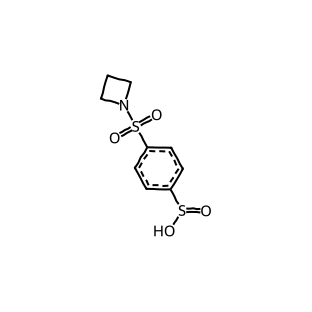 O=S(O)c1ccc(S(=O)(=O)N2CCC2)cc1